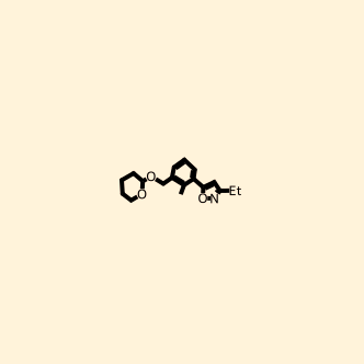 CCc1cc(-c2cccc(COC3CCCCO3)c2C)on1